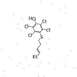 CCC=CCCSc1c(Cl)c(Cl)c(O)c(Cl)c1Cl